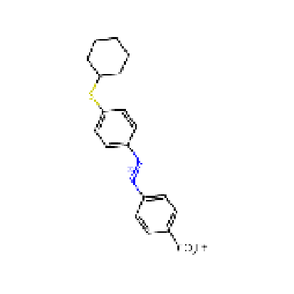 CCOC(=O)c1ccc(/N=N/c2ccc(SC3CCCCC3)cc2)cc1